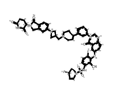 N#Cc1c(NS(=O)(=O)N2CC[C@@H](F)C2)ccc(F)c1Oc1ccc2ncn(-c3cccc(C4CCN(CC5CN(c6ccc7c(c6)CN([C@H]6CCC(=O)NC6=O)C7=O)C5)CC4)c3)c(=O)c2c1